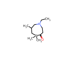 CCN1CCC(=O)[Si](C)(C)CC(C)C1